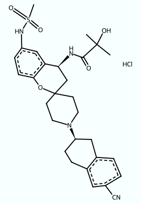 CC(C)(O)C(=O)N[C@H]1CC2(CCN([C@@H]3CCc4cc(C#N)ccc4C3)CC2)Oc2ccc(NS(C)(=O)=O)cc21.Cl